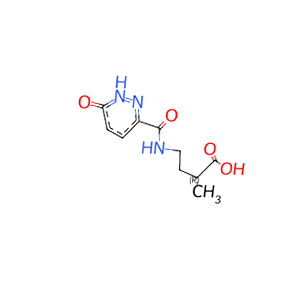 C[C@H](CCNC(=O)c1ccc(=O)[nH]n1)C(=O)O